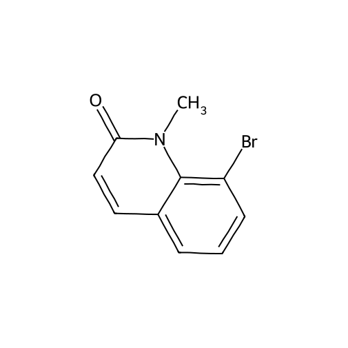 Cn1c(=O)ccc2cccc(Br)c21